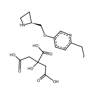 FCc1ccc(OC[C@@H]2CCN2)cn1.O=C(O)CC(O)(CC(=O)O)C(=O)O